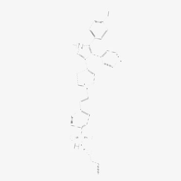 C=CCONS(=O)(=O)c1ccc(C=CN2CC=C(c3c[nH]c(-c4ccc(F)cc4)c3-c3ccncc3)CC2)cc1